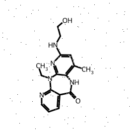 CCN1c2ncccc2C(=O)Nc2c(C)cc(NCCO)nc21